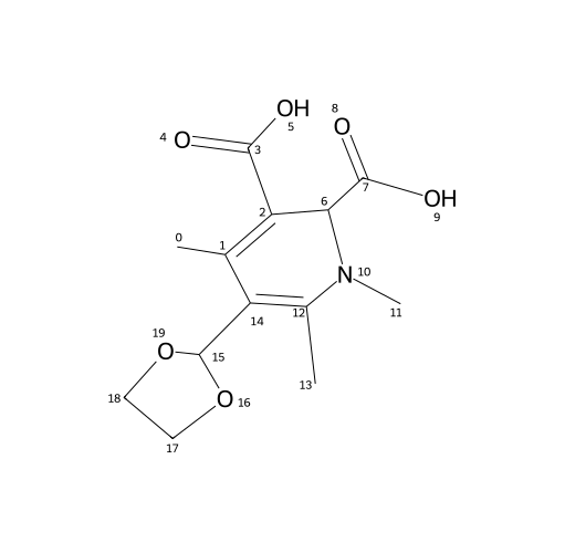 CC1=C(C(=O)O)C(C(=O)O)N(C)C(C)=C1C1OCCO1